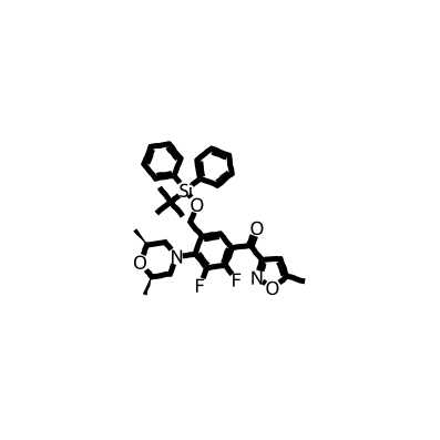 Cc1cc(C(=O)c2cc(CO[Si](c3ccccc3)(c3ccccc3)C(C)(C)C)c(N3C[C@@H](C)O[C@@H](C)C3)c(F)c2F)no1